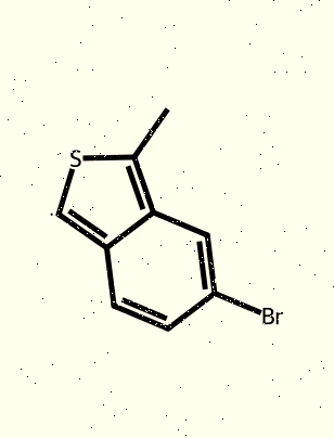 Cc1s[c]c2ccc(Br)cc12